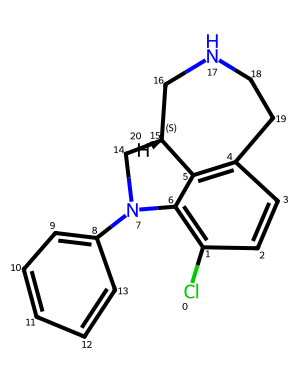 Clc1ccc2c3c1N(c1ccccc1)C[C@@H]3CNCC2